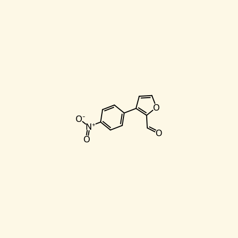 O=Cc1occc1-c1ccc([N+](=O)[O-])cc1